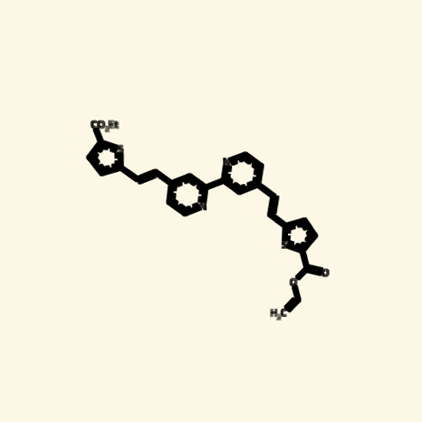 C=COC(=O)c1ccc(/C=C/c2ccnc(-c3cc(/C=C/c4ccc(C(=O)OCC)s4)ccn3)c2)s1